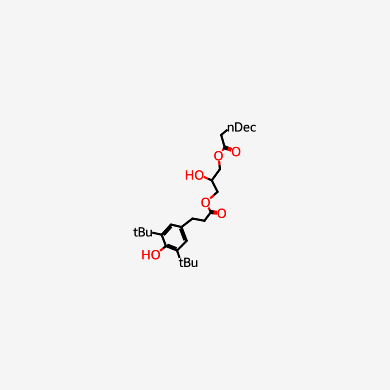 CCCCCCCCCCCC(=O)OCC(O)COC(=O)CCc1cc(C(C)(C)C)c(O)c(C(C)(C)C)c1